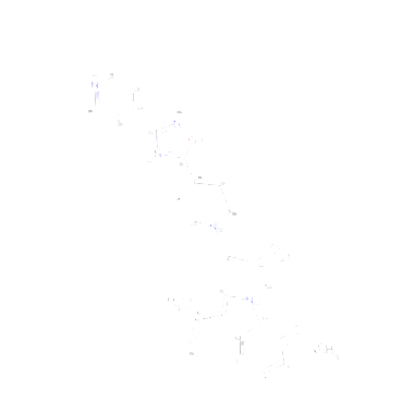 COc1cccc2c(C(C)=O)cn(CC(C)CN3CCC(c4nc(-c5ccncc5)no4)CC3)c12